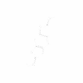 CCNc1nc2cc3nc(NCC)sc3cc2s1